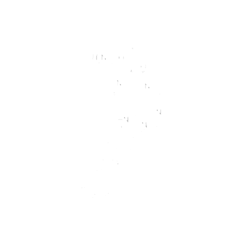 NC(=O)[C@H]1CCCN1C(c1cc2c(Nc3ccc(OCc4ccccc4)cc3)ncnc2cn1)c1ccco1